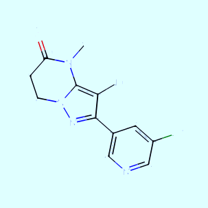 CCc1c(-c2cncc(F)c2)nn2c1N(C)C(=O)CC2